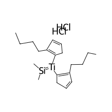 CCCCC1=[C]([Ti]([C]2=C(CCCC)C=CC2)=[Si](C)C)CC=C1.Cl.Cl